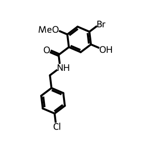 COc1cc(Br)c(O)cc1C(=O)NCc1ccc(Cl)cc1